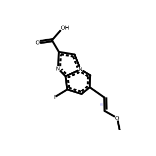 CO/C=C/c1cc(I)c2nc(C(=O)O)cn2c1